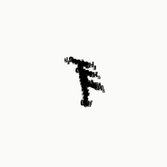 CCCCCCC(CCCC)COC(=O)C(CCCCCCCC(CCCCCCCCC(=O)O)NCCCN(C)C)CC(CCCC)CCCCCC